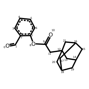 O=Cc1ccccc1OC(=O)CC12CC3CC(CC(C3)C1)C2